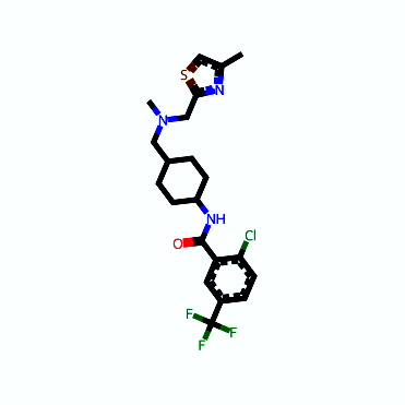 Cc1csc(CN(C)CC2CCC(NC(=O)c3cc(C(F)(F)F)ccc3Cl)CC2)n1